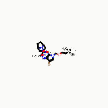 CC1(NC(=O)O)CC2CCC(C1)N2c1cnc2c(Br)cn(COCC[Si](C)(C)C)c2n1